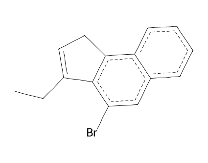 CCC1=CCc2c1c(Br)cc1ccccc21